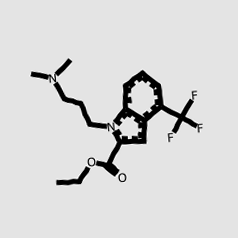 CCOC(=O)c1cc2c(C(F)(F)F)cccc2n1CCCN(C)C